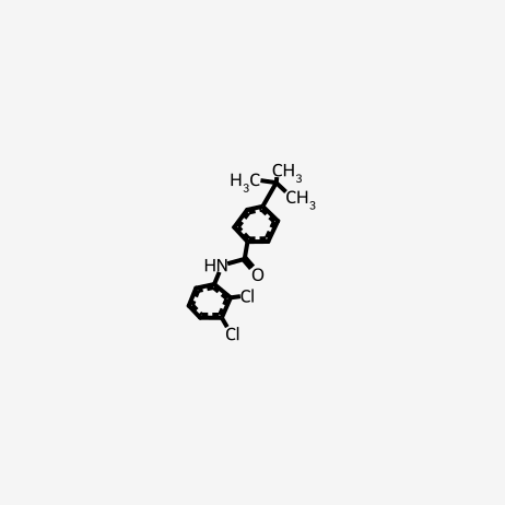 CC(C)(C)c1ccc(C(=O)Nc2cccc(Cl)c2Cl)cc1